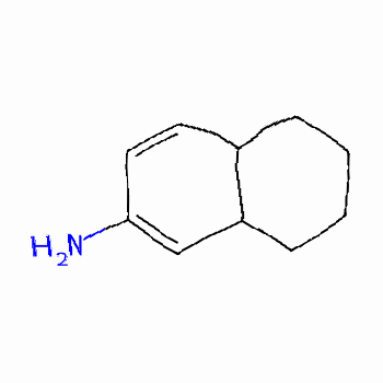 NC1=CC2CCCCC2C=C1